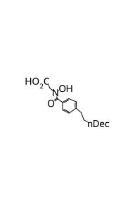 CCCCCCCCCCCCc1ccc(C(=O)N(O)CC(=O)O)cc1